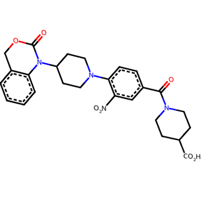 O=C(O)C1CCN(C(=O)c2ccc(N3CCC(N4C(=O)OCc5ccccc54)CC3)c([N+](=O)[O-])c2)CC1